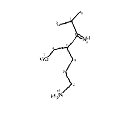 CC(C)C(=N)C(CO)CCCN